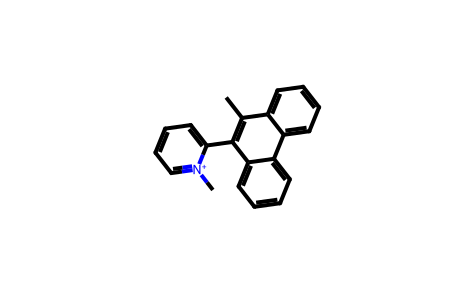 Cc1c(-c2cccc[n+]2C)c2ccccc2c2ccccc12